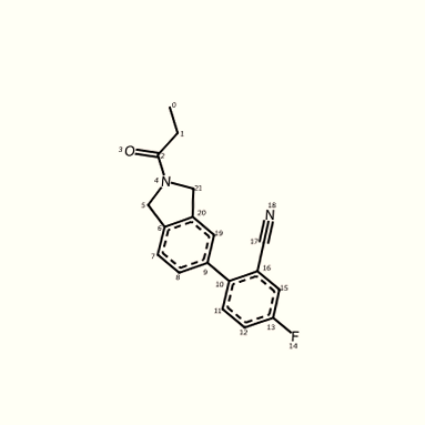 CCC(=O)N1Cc2ccc(-c3ccc(F)cc3C#N)cc2C1